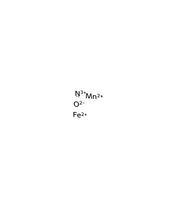 [Fe+2].[Mn+2].[N+3].[O-2]